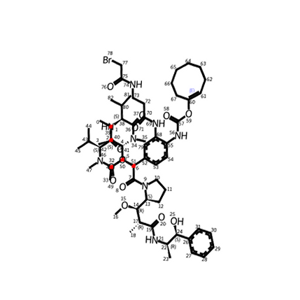 CC[C@H](C)[C@@H]([C@@H](CC(=O)N1CCC[C@H]1[C@H](OC)[C@@H](C)C(=O)N[C@H](C)[C@@H](O)c1ccccc1)OC)N(C)C(=O)[C@@H](NC(=O)[C@H](C(C)C)N(C)C(=O)OCc1ccc(NC(=O)O/C2=C/CCCCCC2)c(NC(=O)CCNC(=O)CBr)c1)C(C)C